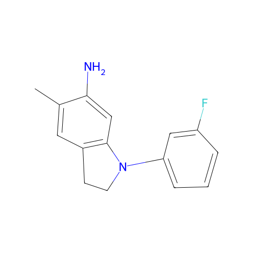 Cc1cc2c(cc1N)N(c1cccc(F)c1)CC2